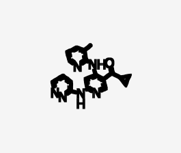 Cc1cccnc1Nc1cc(Nc2cccnn2)ncc1C(=O)C1CC1